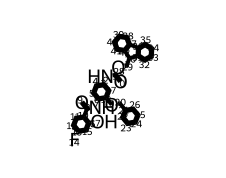 O=C(Nc1ccc(NC(=O)c2ccc(F)cc2O)c(OCc2ccccc2)c1)OCC1c2ccccc2-c2ccccc21